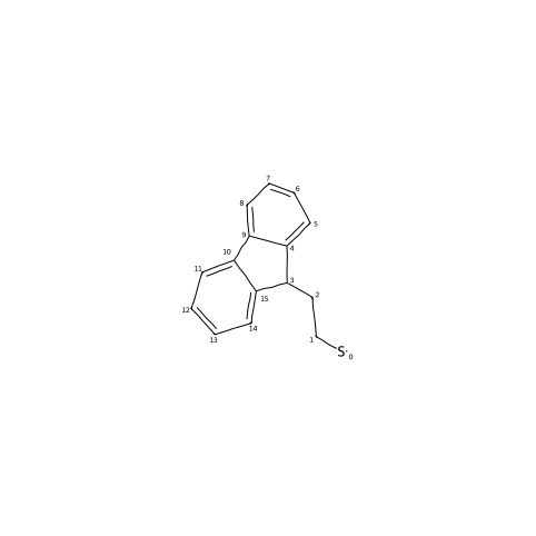 [S]CCC1c2ccccc2-c2ccccc21